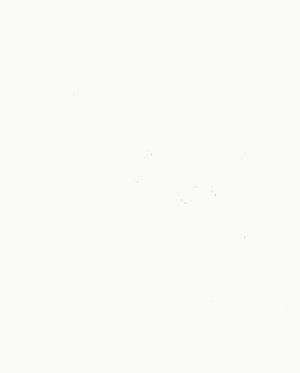 CC(C)CS(=O)(=O)c1ccccc1Oc1ccc(-c2noc(CN3C(=O)N(CCN4CCOCC4)C4(CCN(Cc5cc(O)cc(O)c5)CC4)C3=O)n2)cc1C(F)(F)F